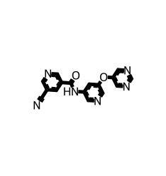 N#Cc1cncc(C(=O)Nc2cncc(Oc3cncnc3)c2)c1